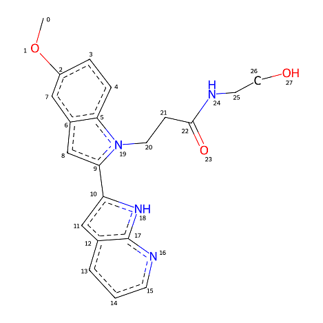 COc1ccc2c(c1)cc(-c1cc3cccnc3[nH]1)n2CCC(=O)NCCO